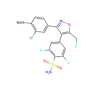 COc1ccc(-c2noc(CF)c2-c2cc(F)c(S(N)(=O)=O)c(F)c2)cc1Cl